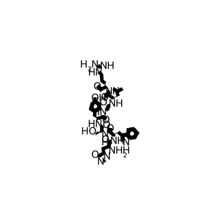 CC(C)C[C@H](NC(=O)CNC(=O)[C@H](Cc1ccc(O)cc1)NC(=O)[C@H](CO)NC(=O)[C@H](Cc1c[nH]c2ccccc12)NC(=O)[C@@H](N)CC1=NC=NC1=O)C(=O)N[C@H]([C]=O)CCCNC(=N)N